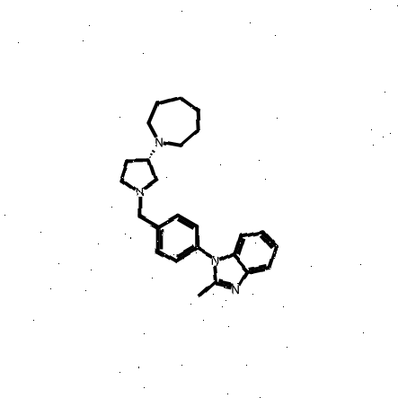 Cc1nc2ccccc2n1-c1ccc(CN2CC[C@H](N3CCCCCC3)C2)cc1